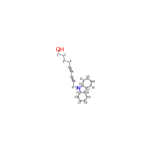 OCCCCC#CC#CCn1c2ccccc2c2ccccc21